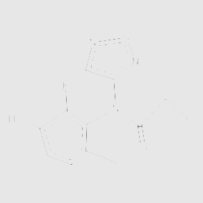 CCc1ccc(C)c(CC)c1N(C(=O)CCl)c1cnsn1